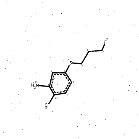 Nc1cc(SCCCF)ccc1Cl